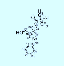 CC(I)(C(=O)N1CC2(CN(Cc3ccccc3)C[C@H]2CO)C1)C(F)(F)F